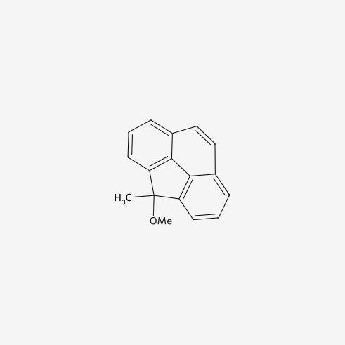 COC1(C)c2cccc3ccc4cccc1c4c23